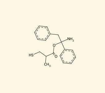 CC(CS)C(=O)OC(N)(Cc1ccccc1)c1ccccc1